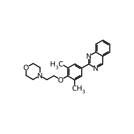 Cc1cc(-c2ncc3ccccc3n2)cc(C)c1OCCN1CCOCC1